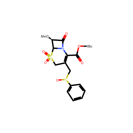 CO[C@H]1C(=O)N2C(C(=O)OC(C)(C)C)=C(C[S+]([O-])c3ccccc3)CS(=O)(=O)C12